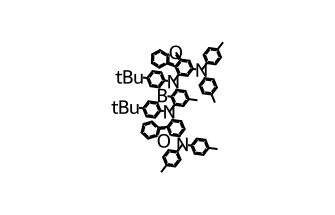 Cc1ccc(N(c2ccc(C)cc2)c2cc(N3c4ccc(C(C)(C)C)cc4B4c5cc(C(C)(C)C)ccc5N(c5ccc(N(c6ccc(C)cc6)c6ccc(C)cc6)c6oc7ccccc7c56)c5cc(C)cc3c54)c3c(c2)oc2ccccc23)cc1